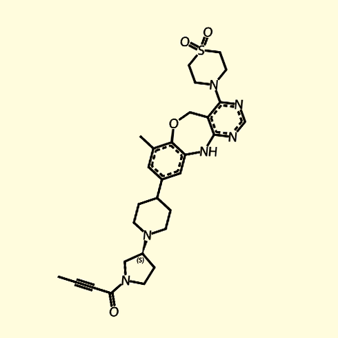 CC#CC(=O)N1CC[C@H](N2CCC(c3cc(C)c4c(c3)Nc3ncnc(N5CCS(=O)(=O)CC5)c3CO4)CC2)C1